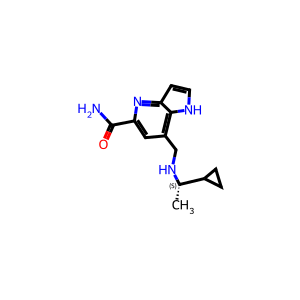 C[C@H](NCc1cc(C(N)=O)nc2cc[nH]c12)C1CC1